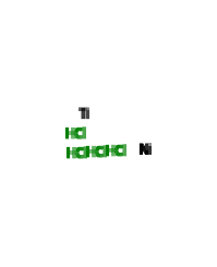 Cl.Cl.Cl.Cl.[Ni].[Ti]